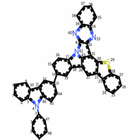 c1ccc(-n2c3ccccc3c3cc(-c4ccc5c(c4)c4cc6c7ccccc7sc6c6c7nc8ccccc8nc7n5c46)ccc32)cc1